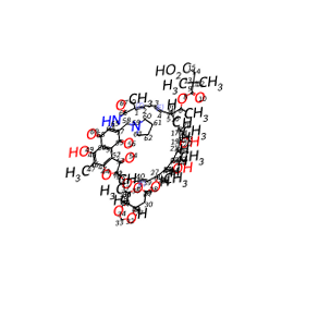 C/C1=C/C=C/[C@H](C(C)OC(=O)C(C)(C)CC(=O)O)C[C@@H](C)[C@@H](O)[C@@H](C)[C@H](O)[C@H](C)[C@@H](O[C@H]2C[C@@H]3OCO[C@@H]3[C@@H](C)O2)/C=C/O[C@@]2(C)Oc3c(C)c(O)c4c(c3C2=O)C(=O)C(CN2CCCC2)=C(NC1=O)C4=O